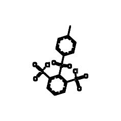 Cc1ccc(S(=O)(=O)c2c(S(=O)(=O)Cl)cccc2S(=O)(=O)Cl)cc1